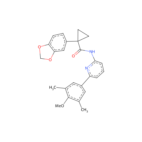 COc1c(C)cc(-c2cccc(NC(=O)C3(c4ccc5c(c4)OCO5)CC3)n2)cc1C